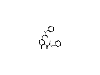 Cc1ccc(NC(=S)Oc2ccccc2)cc1NC(=S)Oc1ccccc1